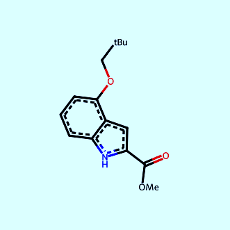 COC(=O)c1cc2c(OCC(C)(C)C)cccc2[nH]1